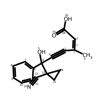 C/C(C#CC(O)(c1ccccc1)C1(C#N)CC1)=C/C(=O)O